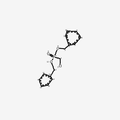 O=P(CCl)(OCc1ccccc1)OCc1ccccc1